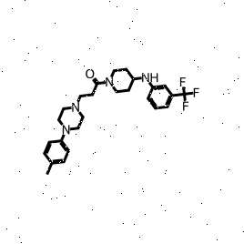 Cc1ccc(N2CCN(CCC(=O)N3CCC(Nc4cccc(C(F)(F)F)c4)CC3)CC2)cc1